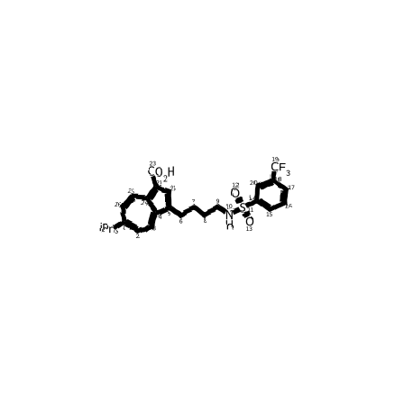 CC(C)c1ccc2c(CCCCNS(=O)(=O)c3cccc(C(F)(F)F)c3)cc(C(=O)O)c-2cc1